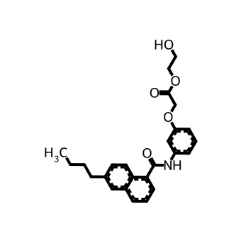 CCCCc1ccc2c(C(=O)Nc3cccc(OCC(=O)OCCO)c3)cccc2c1